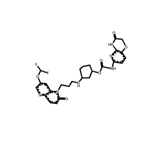 O=C1COc2ccc(NC(=O)OC3CCCC(NCCCn4c(=O)ccc5ncc(OC(F)F)cc54)C3)nc2N1